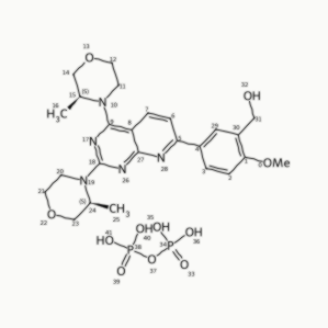 COc1ccc(-c2ccc3c(N4CCOC[C@@H]4C)nc(N4CCOC[C@@H]4C)nc3n2)cc1CO.O=P(O)(O)OP(=O)(O)O